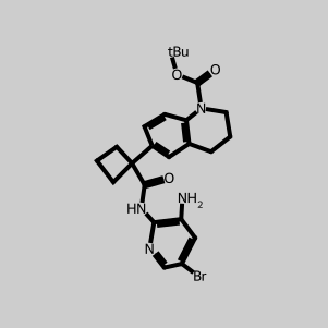 CC(C)(C)OC(=O)N1CCCc2cc(C3(C(=O)Nc4ncc(Br)cc4N)CCC3)ccc21